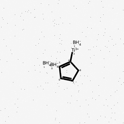 [BH4-].[BH4-].[BH4-].[Ti+3][C]1=CC=CC1